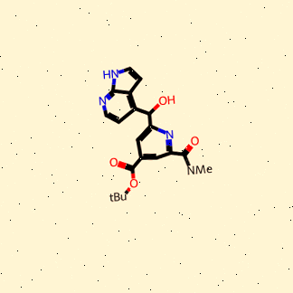 CNC(=O)c1cc(C(=O)OC(C)(C)C)cc(C(O)c2ccnc3[nH]ccc23)n1